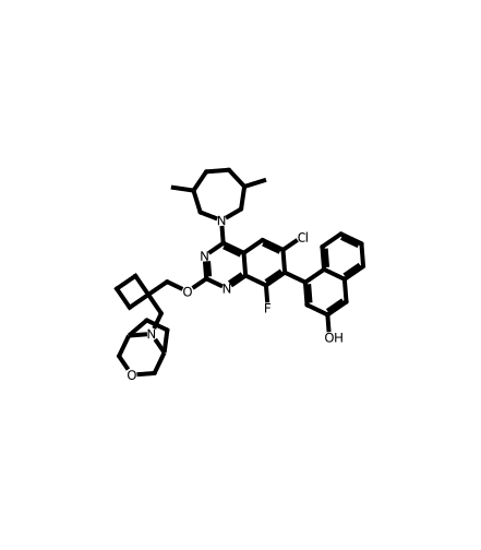 CC1CCC(C)CN(c2nc(OCC3(CN4C5CCC4COC5)CCC3)nc3c(F)c(-c4cc(O)cc5ccccc45)c(Cl)cc23)C1